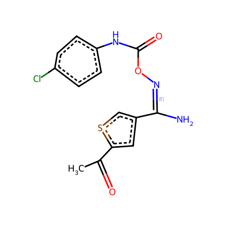 CC(=O)c1cc(/C(N)=N\OC(=O)Nc2ccc(Cl)cc2)cs1